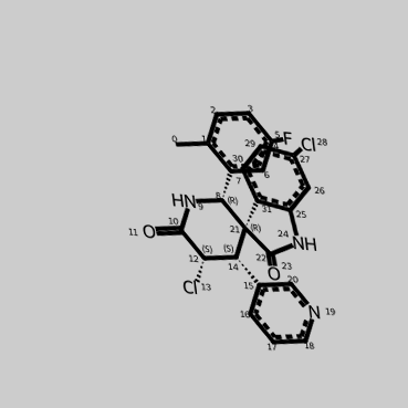 Cc1ccc(F)cc1[C@H]1NC(=O)[C@@H](Cl)[C@@H](c2cccnc2)[C@]12C(=O)Nc1cc(Cl)ccc12